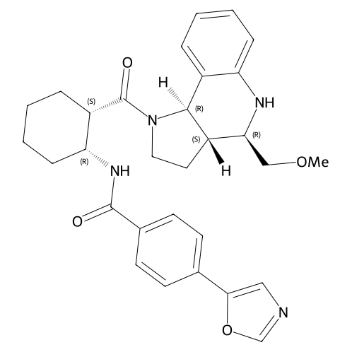 COC[C@@H]1Nc2ccccc2[C@H]2[C@H]1CCN2C(=O)[C@H]1CCCC[C@H]1NC(=O)c1ccc(-c2cnco2)cc1